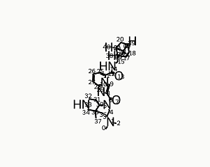 CN(C)CCN(C(=O)c1cn2c(C(=O)NC[C@@H]3CC[C@H]4C[C@@H]3C4(C)C)cccc2n1)C1CCNCC1(C)C